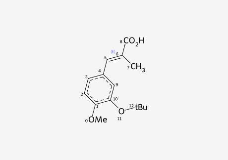 COc1ccc(/C=C(\C)C(=O)O)cc1OC(C)(C)C